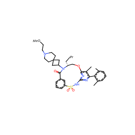 COCCN1CCC2(CC1)CC(N1C(=O)c3cccc(c3)S(=O)(=O)Nc3nc(c(C)c(-c4c(C)cccc4C)n3)OC[C@H]1CC(C)C)C2